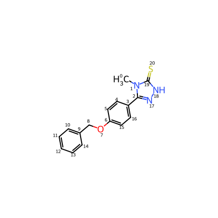 Cn1c(-c2ccc(OCc3ccccc3)cc2)n[nH]c1=S